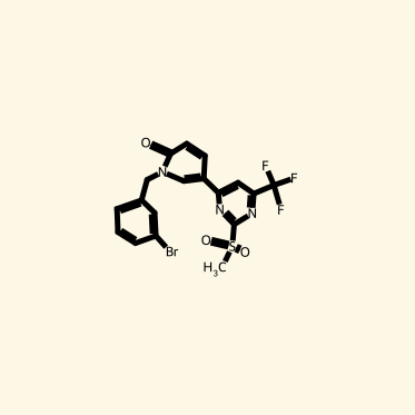 CS(=O)(=O)c1nc(-c2ccc(=O)n(Cc3cccc(Br)c3)c2)cc(C(F)(F)F)n1